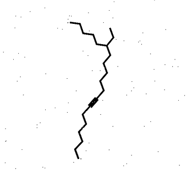 [CH2]CCCCCC#CCCCCCC(CC)CCCC[CH2]